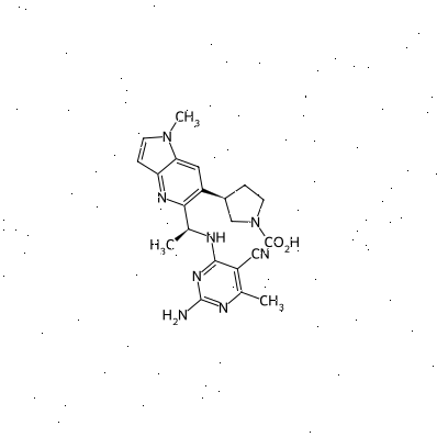 Cc1nc(N)nc(N[C@@H](C)c2nc3ccn(C)c3cc2[C@H]2CCN(C(=O)O)C2)c1C#N